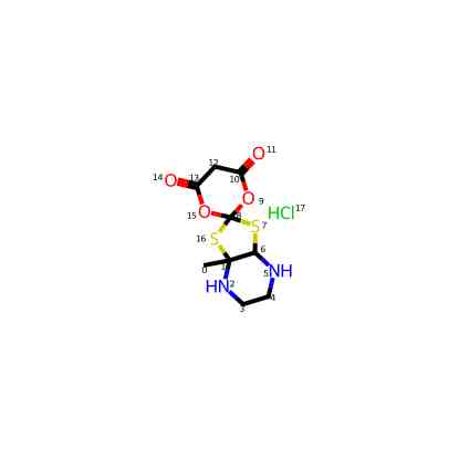 CC12NCCNC1SC1(OC(=O)CC(=O)O1)S2.Cl